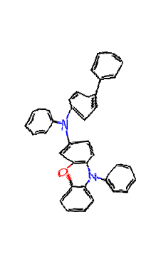 c1ccc(-c2ccc(N(c3ccccc3)c3ccc4c(c3)Oc3ccccc3N4c3ccccc3)cc2)cc1